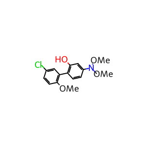 COc1ccc(Cl)cc1-c1ccc(N(OC)OC)cc1O